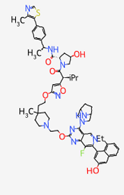 CCc1cccc2cc(O)cc(-c3ncc4c(N5CC6CCC(C5)N6)nc(OCCN5CCC(C)(CCOc6cc([C@@H](C(=O)N7C[C@H](O)C[C@H]7C(=O)N[C@@H](C)c7ccc(-c8scnc8C)cc7)C(C)C)on6)CC5)nc4c3F)c12